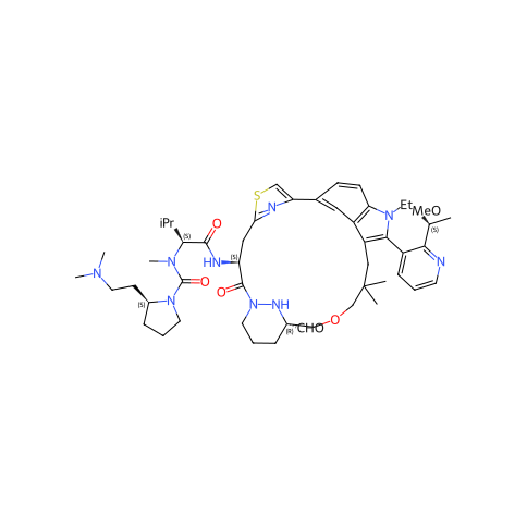 CCn1c(-c2cccnc2[C@H](C)OC)c2c3cc(ccc31)-c1csc(n1)C[C@H](NC(=O)[C@H](C(C)C)N(C)C(=O)N1CCC[C@H]1CCN(C)C)C(=O)N1CCC[C@](C=O)(COCC(C)(C)C2)N1